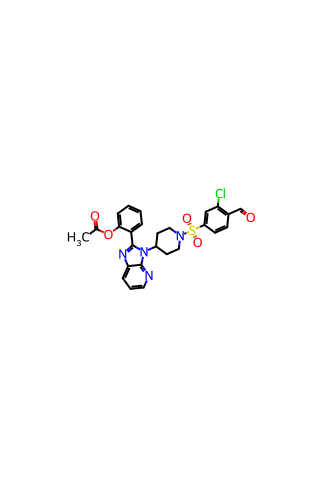 CC(=O)Oc1ccccc1-c1nc2cccnc2n1C1CCN(S(=O)(=O)c2ccc(C=O)c(Cl)c2)CC1